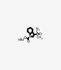 CCCCOC(=O)n1cc(P(C)(C)=O)c2ccccc21